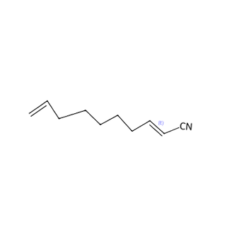 C=CCCCCC/C=C/C#N